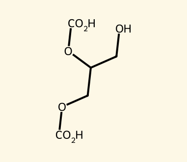 O=C(O)OCC(CO)OC(=O)O